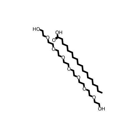 CCCCCCCCCCCCCCCCCC(=O)O.OCCOCCOCCOCCOCCOCCOCCOCCO